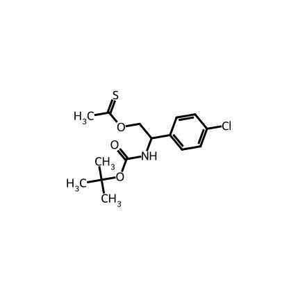 CC(=S)OCC(NC(=O)OC(C)(C)C)c1ccc(Cl)cc1